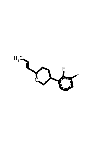 C/C=C/C1CCC(c2cccc(F)c2F)CO1